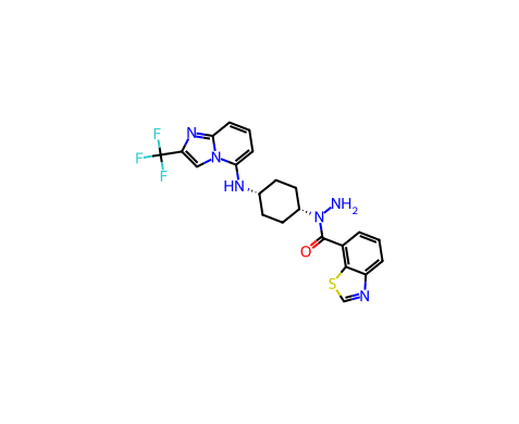 NN(C(=O)c1cccc2ncsc12)[C@H]1CC[C@@H](Nc2cccc3nc(C(F)(F)F)cn23)CC1